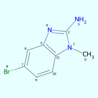 Cn1c(N)nc2cc(Br)ccc21